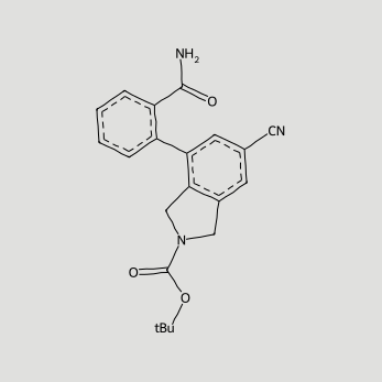 CC(C)(C)OC(=O)N1Cc2cc(C#N)cc(-c3ccccc3C(N)=O)c2C1